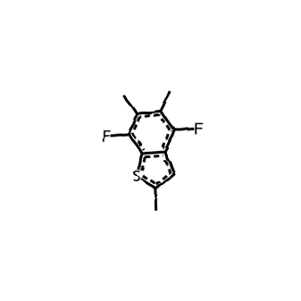 Cc1cc2c(F)c(C)c(C)c(F)c2s1